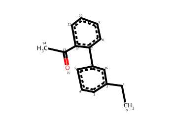 CCc1cccc(-c2ccccc2C(C)=O)c1